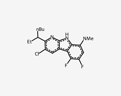 CCCCC(CC)c1nc2[nH]c3c(NC)cc(F)c(F)c3c2cc1Cl